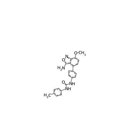 COc1ccc(-c2ccc(NC(=O)Nc3ccc(C)cc3)cc2)c2c(N)onc12